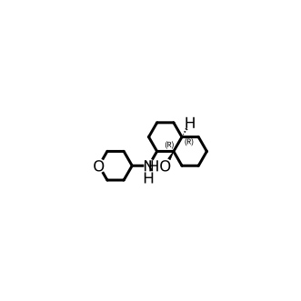 O[C@]12CCCC[C@@H]1CCCC2NC1CCOCC1